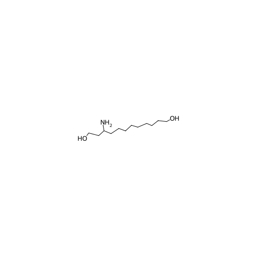 NC(CCO)CCCCCCCCCO